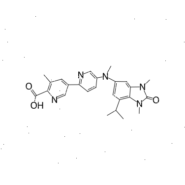 Cc1cc(-c2ccc(N(C)c3cc(C(C)C)c4c(c3)n(C)c(=O)n4C)cn2)cnc1C(=O)O